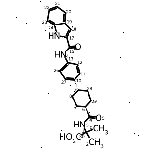 CC(C)(NC(=O)[C@H]1CC[C@H](c2ccc(NC(=O)c3cc4ccccc4[nH]3)cc2)CC1)C(=O)O